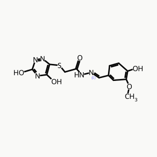 COc1cc(/C=N/NC(=O)CSc2nnc(O)nc2O)ccc1O